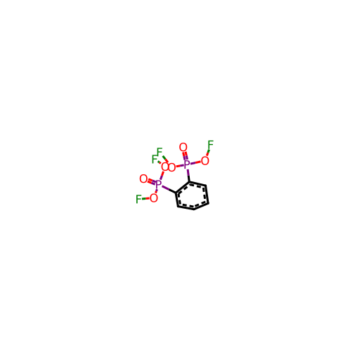 O=P(OF)(OF)c1ccccc1P(=O)(OF)OF